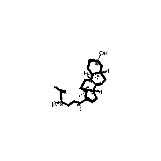 C=C(C)[C@H](CC)CC[C@@H](C)C1=CC[C@H]2C3=CC[C@H]4C[C@@H](O)CC[C@]4(C)[C@H]3CC[C@]12C